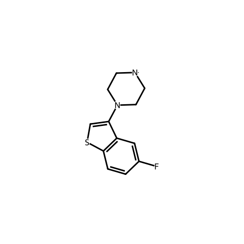 Fc1ccc2scc(N3CC[N]CC3)c2c1